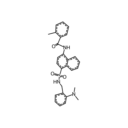 Cc1ccccc1C(=O)Nc1ccc(S(=O)(=O)NCc2ccccc2N(C)C)c2ccccc12